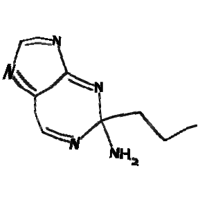 CCCC1(N)N=CC2=NC=NC2=N1